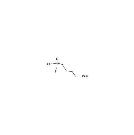 CCCCCCCC[Si](Cl)(Cl)I